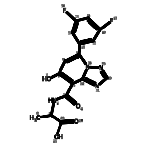 CC(NC(=O)c1c(O)cc(-c2cc(F)cc(F)c2)n2ncnc12)C(=O)O